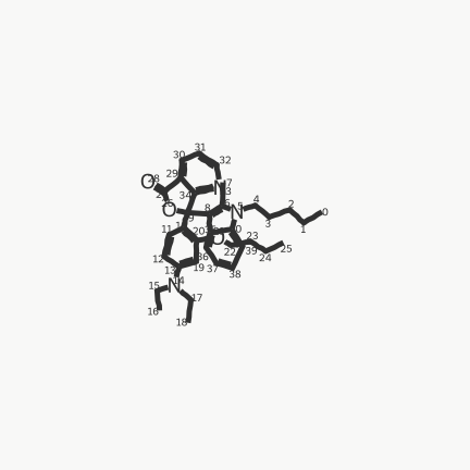 CCCCCn1c(C)c(C2(c3ccc(N(CC)CC)cc3OCCCC)OC(=O)c3cccnc32)c2ccccc21